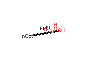 CCCCCCCC/C=C/CCCCCCCCOCC(O)CO.CCOCC